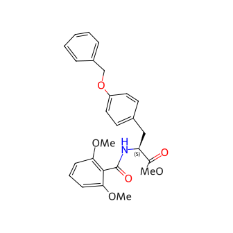 COC(=O)[C@H](Cc1ccc(OCc2ccccc2)cc1)NC(=O)c1c(OC)cccc1OC